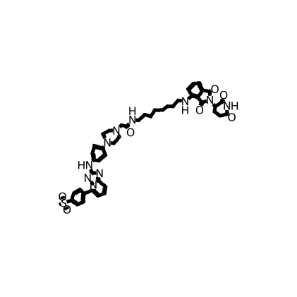 CS(=O)(=O)c1ccc(-c2cccc3nc(Nc4ccc(N5CCN(CC(=O)NCCCCCCCCNc6cccc7c6C(=O)N(C6CCC(=O)NC6=O)C7=O)CC5)cc4)nn23)cc1